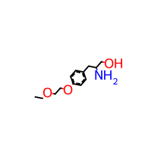 CCOCCOc1ccc(C[C@H](N)CO)cc1